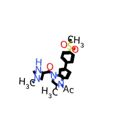 CC(=O)N1c2ccc(-c3ccc(S(C)(=O)=O)cc3)cc2N(C(=O)C2CN(C)CN2)C[C@@H]1C